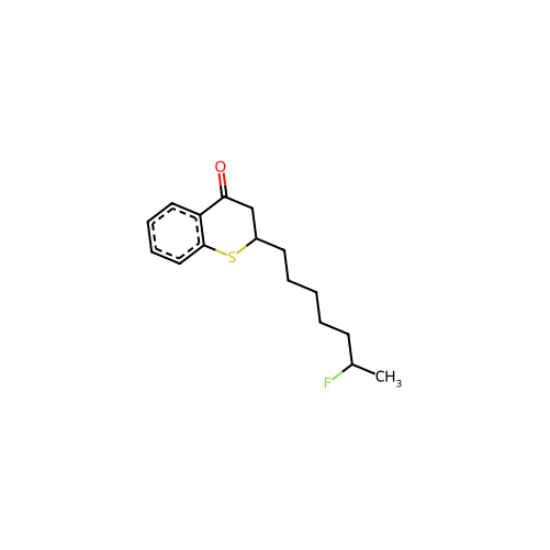 CC(F)CCCCCC1CC(=O)c2ccccc2S1